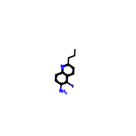 CCCc1ccc2c(I)c(N)ccc2n1